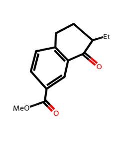 CCC1CCc2ccc(C(=O)OC)cc2C1=O